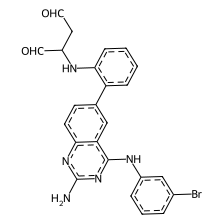 Nc1nc(Nc2cccc(Br)c2)c2cc(-c3ccccc3NC(C=O)CC=O)ccc2n1